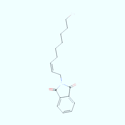 CC[C@@H](/C=C\CCCCCCBr)N1C(=O)c2ccccc2C1=O